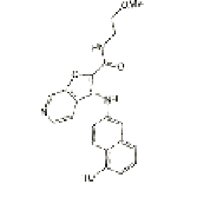 COCCNC(=O)c1oc2cnccc2c1Nc1ccc2c(O)cccc2c1